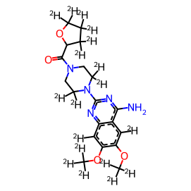 [2H]c1c(OC([2H])([2H])[2H])c(OC([2H])([2H])[2H])c([2H])c2c(N)nc(N3C([2H])([2H])CN(C(=O)C4OC([2H])([2H])C([2H])([2H])C4([2H])[2H])CC3([2H])[2H])nc12